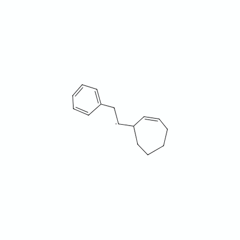 [CH](Cc1ccccc1)C1C=CCCCC1